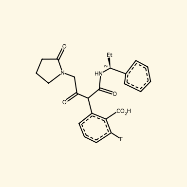 CC[C@H](NC(=O)C(C(=O)CN1CCCC1=O)c1cccc(F)c1C(=O)O)c1ccccc1